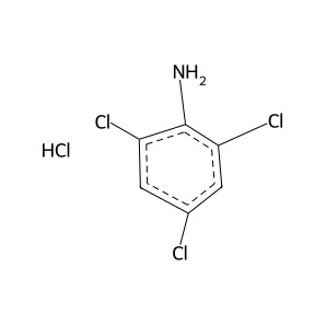 Cl.Nc1c(Cl)cc(Cl)cc1Cl